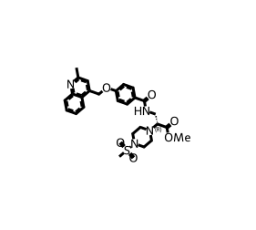 COC(=O)[C@@H](CNC(=O)c1ccc(OCc2cc(C)nc3ccccc23)cc1)N1CCN(S(C)(=O)=O)CC1